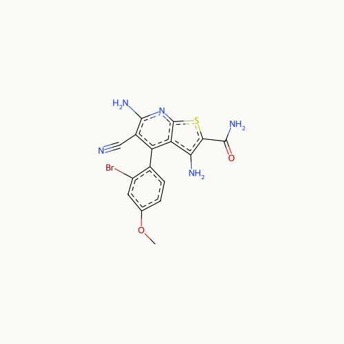 COc1ccc(-c2c(C#N)c(N)nc3sc(C(N)=O)c(N)c23)c(Br)c1